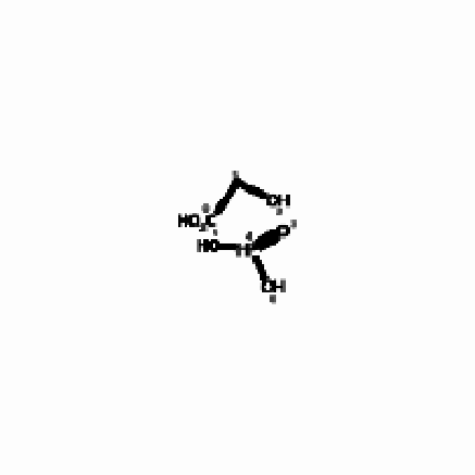 O=C(O)CO.O=[PH](O)O